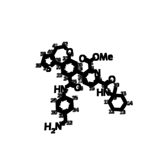 COC(=O)c1nc(C(=O)NC2(C)CCCCC2)ccc1-c1cc2c(cc1C(=O)Nc1ccc(CN)cc1)-c1sccc1CCO2